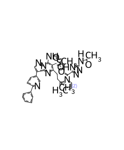 C/C=C\N(C(=O)c1nnc(NC(C)=O)[nH]1)[C@H](C)CCc1nc2c(-c3ccc(-c4ccccc4)nc3)cnn2c(N)c1S(C)(=O)=O